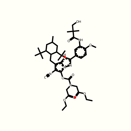 [C-]#[N+]c1c(CC2C(C(C)(C)C)CC(C)CC2C(C)(C)C)c2[nH]c(-c3ccc(OC)c(NC(=O)C(C)(C)CO)c3)nn2c1OC(=O)N(CC(=O)OCC)CC(=O)OCC